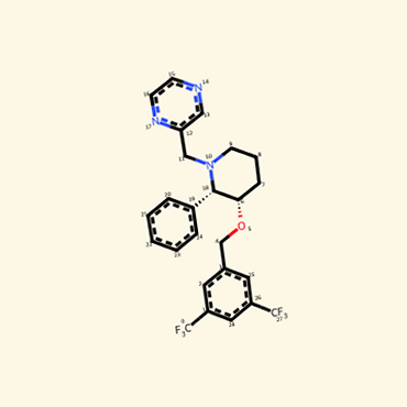 FC(F)(F)c1cc(CO[C@H]2CCCN(Cc3cnccn3)[C@H]2c2ccccc2)cc(C(F)(F)F)c1